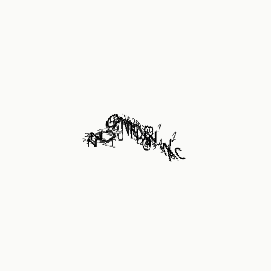 CC(=O)N(C)CCCN(C)S(=O)(=O)c1ccc(CNC(=O)c2ccc3nccn3c2)cc1